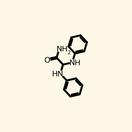 NC(=O)C(Nc1ccccc1)Nc1ccccc1